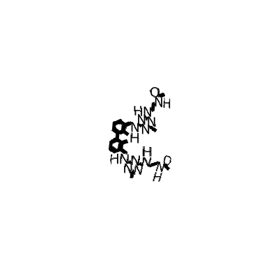 CC(=O)NCCNc1nc(C)nc(NCc2cccc(-c3cccc(CNc4nc(C)nc(NCCNC(C)=O)n4)c3C)c2C)n1